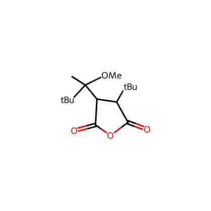 COC(C)(C1C(=O)OC(=O)C1C(C)(C)C)C(C)(C)C